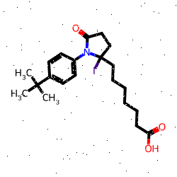 CC(C)(C)c1ccc(N2C(=O)CCC2(I)CCCCCCC(=O)O)cc1